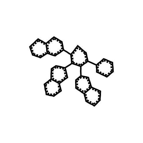 c1ccc(-c2ccc(-c3ccc4ccccc4c3)c(-c3ccc4ccccc4c3)c2-c2ccc3ccccc3c2)cc1